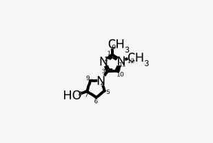 Cc1nc(N2CCC(O)C2)cn1C